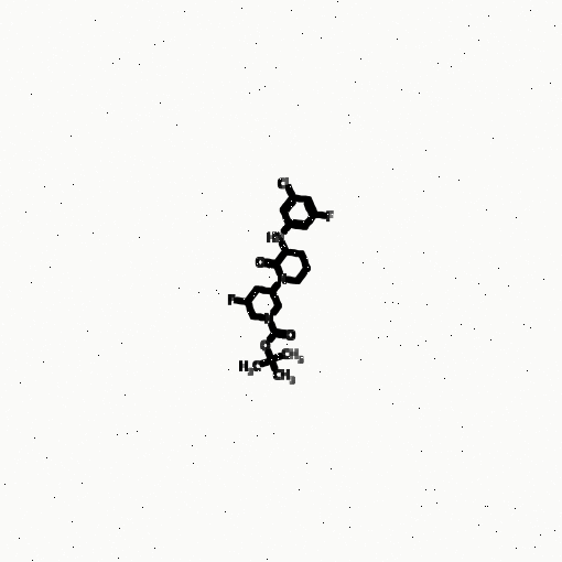 CC(C)(C)OC(=O)N1CC(F)CC(N2CCCC(Nc3cc(F)cc(Cl)c3)C2=O)C1